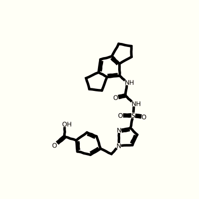 O=C(Nc1c2c(cc3c1CCC3)CCC2)NS(=O)(=O)c1ccn(Cc2ccc(C(=O)O)cc2)n1